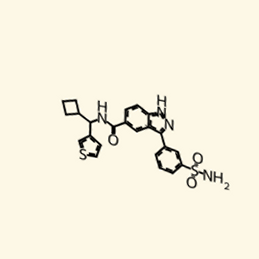 NS(=O)(=O)c1cccc(-c2n[nH]c3ccc(C(=O)NC(c4ccsc4)C4CCC4)cc23)c1